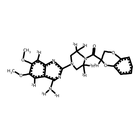 [2H]c1c(OC)c(OC)c([2H])c2c(N([2H])[2H])nc(N3CC([2H])([2H])N(C(=O)C4([2H])COc5ccccc5O4)C([2H])([2H])C3)nc12